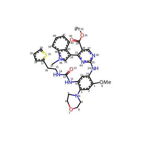 COc1cc(N2CCOCC2)c(NC(=O)NCCc2cccs2)cc1Nc1ncc(C(=O)OC(C)C)c(-c2cn(C)c3ccccc23)n1